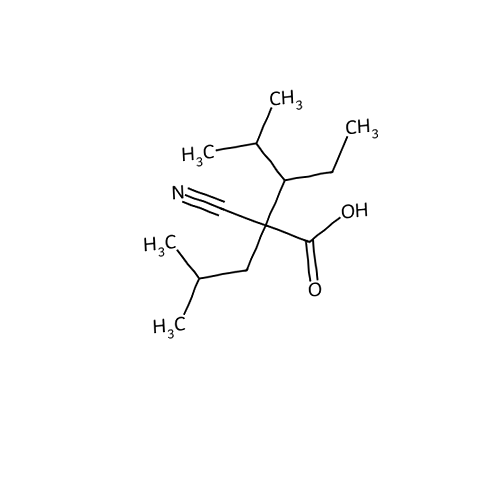 CCC(C(C)C)C(C#N)(CC(C)C)C(=O)O